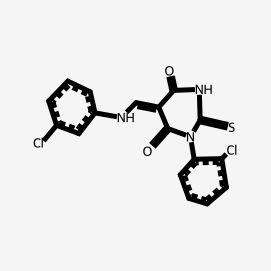 O=C1NC(=S)N(c2ccccc2Cl)C(=O)/C1=C\Nc1cccc(Cl)c1